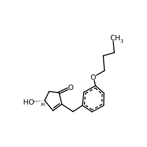 CCCCOc1cccc(CC2=C[C@H](O)CC2=O)c1